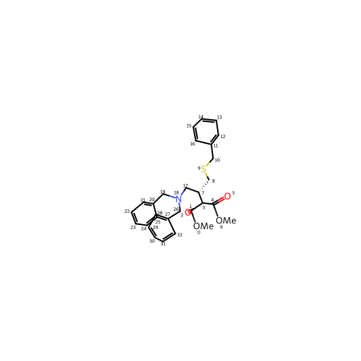 COC(=O)C(C(=O)OC)[C@@H](CSCc1ccccc1)CN(Cc1ccccc1)Cc1ccccc1